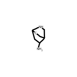 NC1CC2CCC1CN2